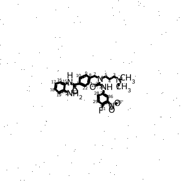 CN(C)CCCN(Cc1ccc(C(=O)Nc2ccccc2N)cc1)C(=O)Nc1ccc(F)c([N+](=O)[O-])c1